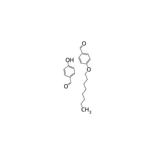 CCCCCCCCOc1ccc(C=O)cc1.O=Cc1ccc(O)cc1